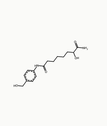 NC(=O)C(O)CCCCCC(=O)Nc1ccc(CO)cc1